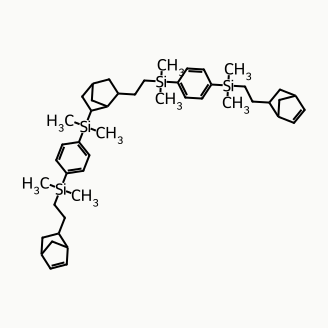 C[Si](C)(CCC1CC2C=CC1C2)c1ccc([Si](C)(C)CCC2CC3CC2C([Si](C)(C)c2ccc([Si](C)(C)CCC4CC5C=CC4C5)cc2)C3)cc1